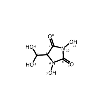 O=C1C(C(O)O)N(O)C(=O)N1O